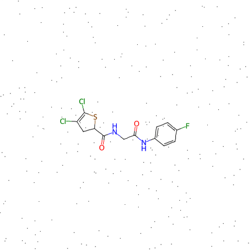 O=C(CNC(=O)C1CC(Cl)=C(Cl)S1)Nc1ccc(F)cc1